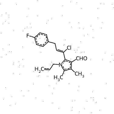 C=CCn1c(C)c(C)c(C=O)c1C(Cl)=CCc1ccc(F)cc1